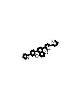 c1ccc(-c2ccc3c(c2)Oc2ccc4c5c(ccc-3c25)-c2ccc(-c3ccccn3)cc2O4)nc1